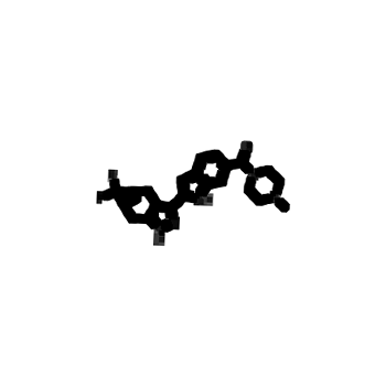 CN1CCN(C(=O)c2ccc3cc(-c4n[nH]c5c4CC4C(F)(F)C4(C)C5)[nH]c3c2)CC1